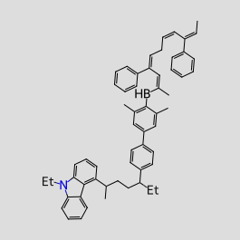 C/C=C(\C=C/C/C=C(\C=C(\C)Bc1c(C)cc(-c2ccc(C(CC)CCC(C)c3cccc4c3c3ccccc3n4CC)cc2)cc1C)c1ccccc1)c1ccccc1